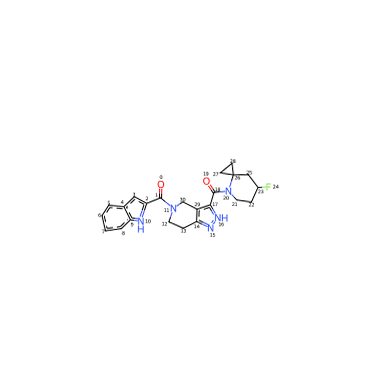 O=C(c1cc2ccccc2[nH]1)N1CCc2n[nH]c(C(=O)N3CCC(F)CC34CC4)c2C1